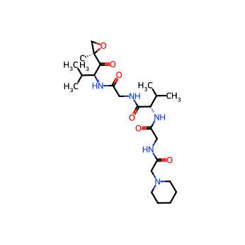 CC(C)[C@H](NC(=O)CNC(=O)CN1CCCCC1)C(=O)NCC(=O)N[C@H](C(=O)[C@@]1(C)CO1)C(C)C